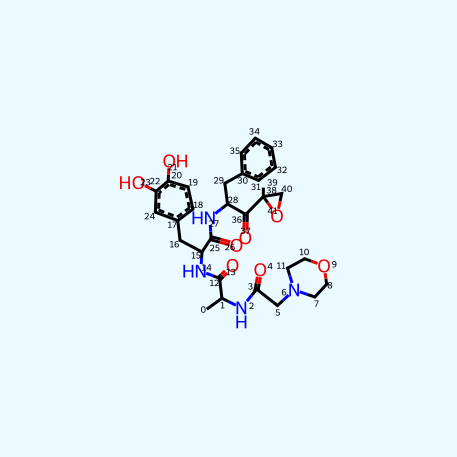 CC(NC(=O)CN1CCOCC1)C(=O)NC(Cc1ccc(O)c(O)c1)C(=O)NC(Cc1ccccc1)C(=O)C1(C)CO1